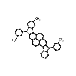 Cc1ccc2c(c1)-c1c(cc3ccc4c5c(ccc1c35)cc1c4c3ncccc3n1-c1cccc(C(F)(F)F)c1)C2c1cccc(C(F)(F)F)c1